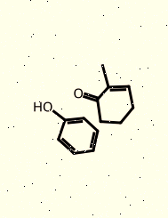 CC1=CCCCC1=O.Oc1ccccc1